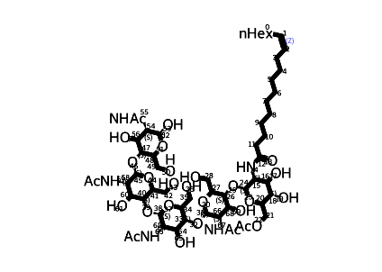 CCCCCC/C=C\CCCCCCCCCC(=O)N[C@H]1C(O)[C@H](O)C(COC(C)=O)O[C@H]1O[C@@H]1C(CO)O[C@@H](O[C@@H]2C(CO)O[C@@H](O[C@@H]3C(CO)O[C@@H](O[C@@H]4C(CO)O[C@@H](O)[C@@H](NC(C)=O)C4O)[C@@H](NC(C)=O)C3O)[C@@H](NC(C)=O)C2O)[C@@H](NC(C)=O)C1O